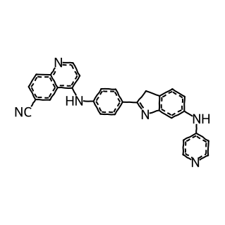 N#Cc1ccc2nccc(Nc3ccc(C4=Nc5cc(Nc6ccncc6)ccc5C4)cc3)c2c1